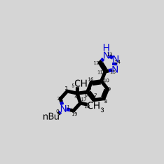 CCCCN1CCC(C)(c2cccc(-c3c[nH]nn3)c2)C(C)C1